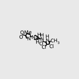 COC(=O)c1ccc(N2C[C@@H]3[C@H](C2)[C@@H]3NC(=O)c2[nH]c(C)c(Cl)c2Cl)nc1